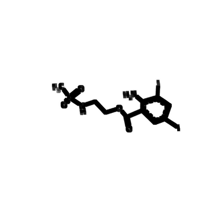 Nc1c(I)cc(I)cc1C(=O)OCCNS(=O)(=O)C(F)(F)F